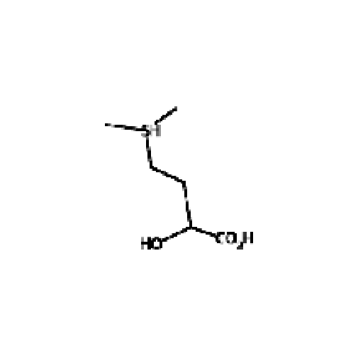 C[SH](C)CCC(O)C(=O)O